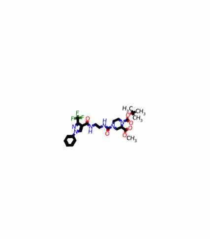 COC(=O)C1CN(C(=O)NCCNC(=O)c2cn(-c3ccccc3)nc2C(F)(F)F)CCN1C(=O)OC(C)(C)C